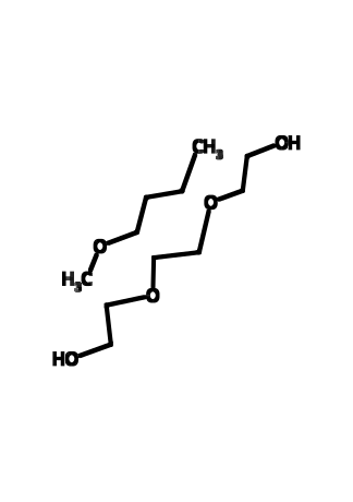 CCCCOC.OCCOCCOCCO